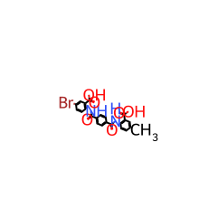 Cc1ccc(NC(=O)c2ccc(C(=O)Nc3ccc(Br)cc3C(=O)O)cc2)c(C(=O)O)c1